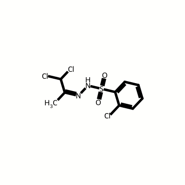 CC(=NNS(=O)(=O)c1ccccc1Cl)C(Cl)Cl